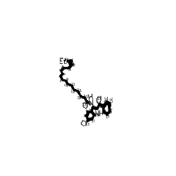 CC/C=C\C/C=C\C/C=C\CCCCCCCC(=O)Nc1c(C(=O)c2ccccc2)[nH]c2cc(Cl)ccc12